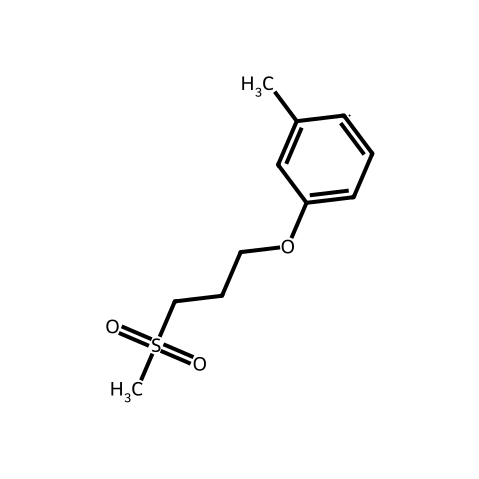 Cc1[c]ccc(OCCCS(C)(=O)=O)c1